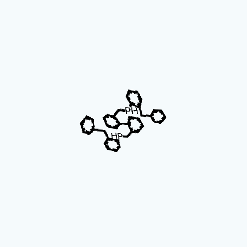 c1ccc(Cc2ccccc2PCc2ccccc2-c2ccccc2CPc2ccccc2Cc2ccccc2)cc1